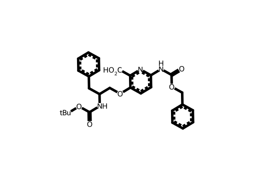 CC(C)(C)OC(=O)NC(COc1ccc(NC(=O)OCc2ccccc2)nc1C(=O)O)Cc1ccccc1